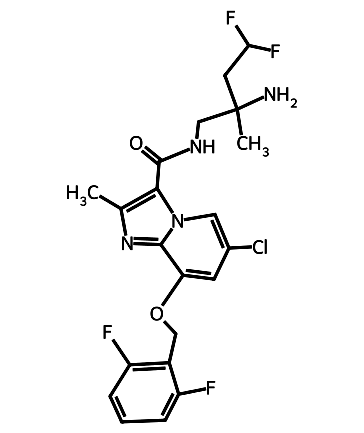 Cc1nc2c(OCc3c(F)cccc3F)cc(Cl)cn2c1C(=O)NCC(C)(N)CC(F)F